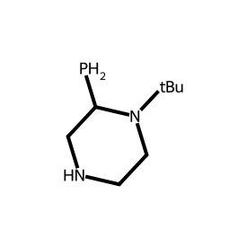 CC(C)(C)N1CCNCC1P